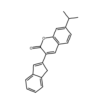 CC(C)c1ccc2cc(C3=Cc4ccccc4C3)c(=O)oc2c1